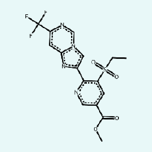 CCS(=O)(=O)c1cc(C(=O)OC)cnc1-c1cn2cnc(C(F)(F)F)cc2n1